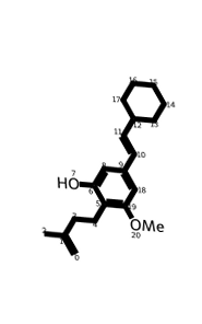 C=C(C)CCc1c(O)cc(/C=C/C2CCCCC2)cc1OC